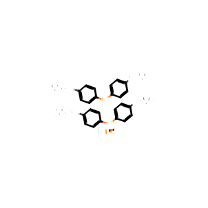 CCC.COc1ccc(Pc2ccc(OC)cc2)cc1.COc1ccc(Pc2ccc(OC)cc2)cc1